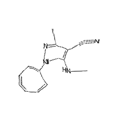 CNc1c(C#N)c(C)nn1-c1ccccc1